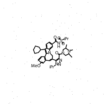 COc1ccc2c(c1)C=C(c1c(C(=O)N3CC(C)N(C)C(C)C3)nnn1C(C)C)Cn1c-2c(C2CCCCC2)c2ccc(C(=O)NS(=O)(=O)C(C)C)cc21